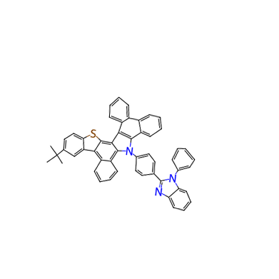 CC(C)(C)c1ccc2sc3c(c2c1)c1ccccc1c1c3c2c3ccccc3c3ccccc3c2n1-c1ccc(-c2nc3ccccc3n2-c2ccccc2)cc1